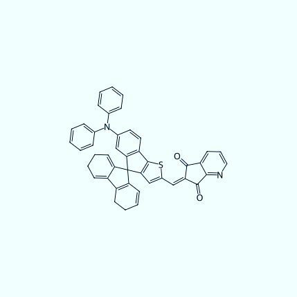 O=C1/C(=C\c2cc3c(s2)-c2ccc(N(c4ccccc4)c4ccccc4)cc2C32C3=CCCC=C3C3=C2C=CCC3)C(=O)c2ncccc21